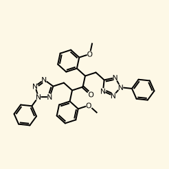 COc1ccccc1C(Cc1nnn(-c2ccccc2)n1)C(=O)C(Cc1nnn(-c2ccccc2)n1)c1ccccc1OC